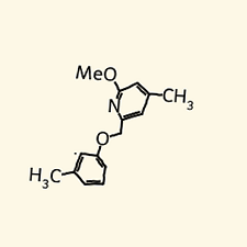 COc1cc(C)cc(COc2[c]c(C)ccc2)n1